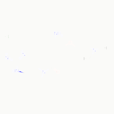 CN(C)CCOc1cc(C(=O)N2CC[C@@H](Nc3ncc(Cl)cn3)C2)ccc1N